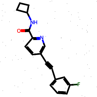 O=C(NC1CCC1)c1ccc(C#Cc2cccc(F)c2)cn1